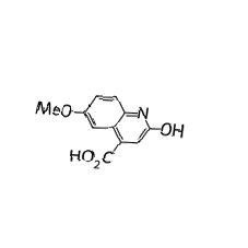 COc1ccc2nc(O)cc(C(=O)O)c2c1